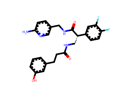 Nc1ccc(CNC(=O)[C@@H](CNC(=O)CCc2cccc(O)c2)c2ccc(F)c(F)c2)cn1